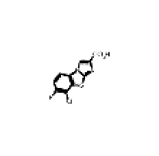 O=C(O)c1cn2c(n1)sc1c(Cl)c(F)ccc12